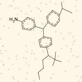 CCCCC(c1ccc(C(c2ccc(N)cc2)c2ccc(C(C)C)cc2)cc1)C(C)(C)C